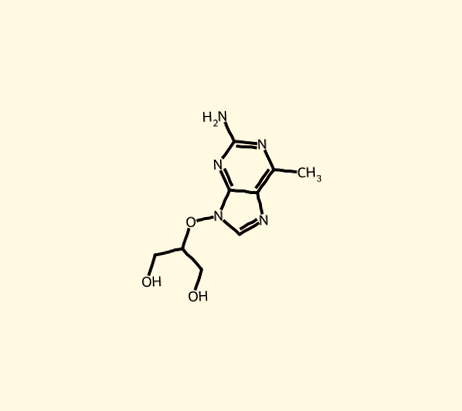 Cc1nc(N)nc2c1ncn2OC(CO)CO